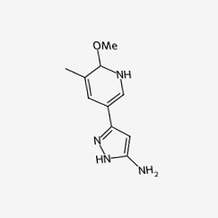 COC1NC=C(c2cc(N)[nH]n2)C=C1C